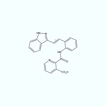 O=C(O)c1cccnc1C(=O)Nc1ccccc1/C=C/c1n[nH]c2ccccc12